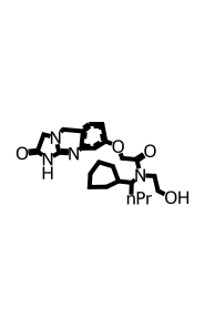 CCCC(C1CCCCC1)N(CCO)C(=O)COc1ccc2c(c1)N=C1NC(=O)CN1C2